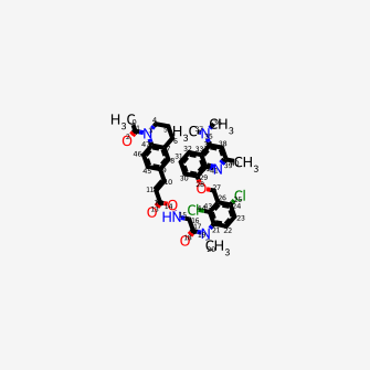 CC(=O)N1CCCc2cc(/C=C/C(=O)ONCC(=O)N(C)c3ccc(Cl)c(COc4cccc5c(N(C)C)cc(C)nc45)c3Cl)ccc21